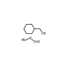 CC(C)(C)OC=O.N#CCN1CCCCC1